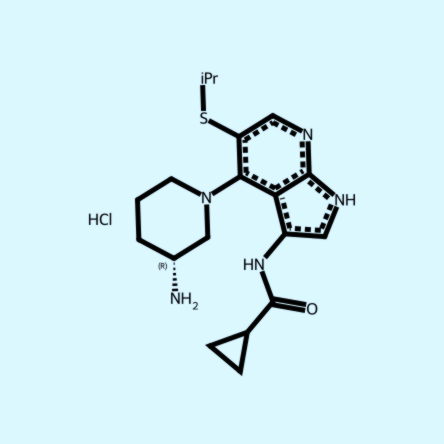 CC(C)Sc1cnc2[nH]cc(NC(=O)C3CC3)c2c1N1CCC[C@@H](N)C1.Cl